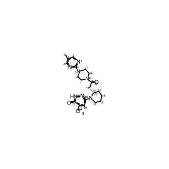 Cc1cnc(N2CCN(C(=O)C[C@@H]3CCCCN3c3cc(C(F)(F)F)c(=O)[nH]n3)CC2)nc1